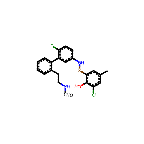 Cc1cc(Cl)c(O)c(SNc2ccc(F)c(-c3ccccc3CCNC=O)c2)c1